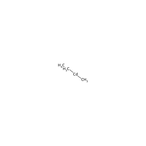 C.[CH3][Cd][CH3]